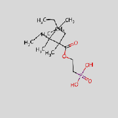 CCC(C)(C)CC(C)(C(=O)OCCP(=O)(O)O)C(C)(C)CC